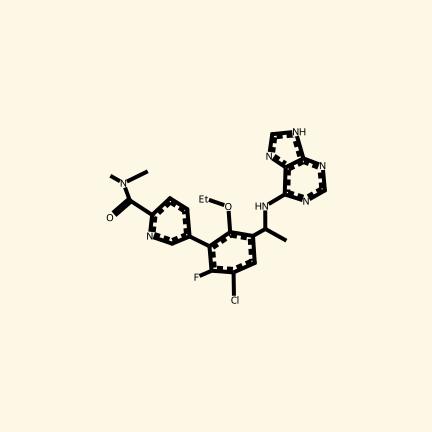 CCOc1c(C(C)Nc2ncnc3[nH]cnc23)cc(Cl)c(F)c1-c1ccc(C(=O)N(C)C)nc1